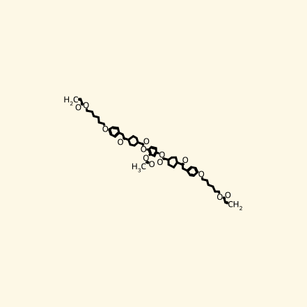 C=CC(=O)OCCCCCCOc1ccc(CC(=O)C2CCC(C(=O)Oc3ccc(OC(=O)C4CCC(C(=O)Cc5ccc(OCCCCCCOC(=O)C=C)cc5)CC4)c(OC(C)=O)c3)CC2)cc1